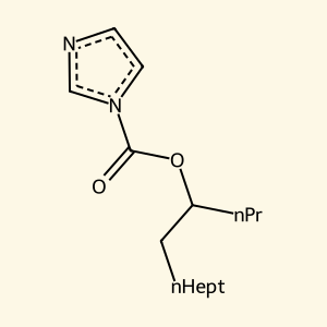 CCCCCCCCC(CCC)OC(=O)n1ccnc1